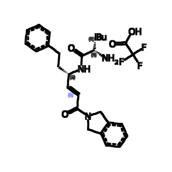 CC[C@@H](C)[C@H](N)C(=O)N[C@H](/C=C/C(=O)N1Cc2ccccc2C1)CCc1ccccc1.O=C(O)C(F)(F)F